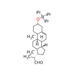 CC(C=O)[C@H]1CC[C@H]2[C@@H]3CC=C4CC(O[Si](C(C)C)(C(C)C)C(C)C)CC[C@]4(C)[C@H]3CC[C@]12C